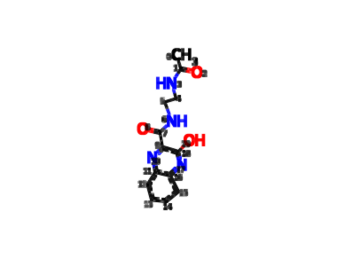 CC(=O)NCCNC(=O)c1nc2ccccc2nc1O